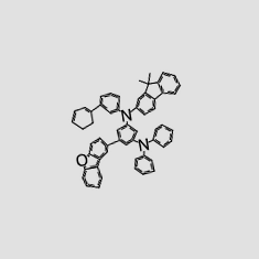 CC1(C)c2ccccc2-c2ccc(N(c3cccc(C4=CC=CCC4)c3)c3cc(-c4ccc5oc6ccccc6c5c4)cc(N(c4ccccc4)c4ccccc4)c3)cc21